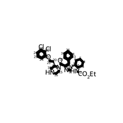 CCOC(=O)N[C@H]1CCCC[C@@H]1n1cnc(C(=O)N2CCNC[C@H]2CCOc2cccc(Cl)c2Cl)c1-c1ccccc1